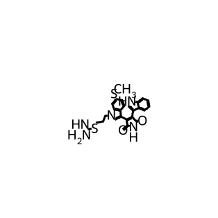 CSc1ccc2c(C3=C(c4c[nH]c5ccccc45)C(=O)NC3=O)cn(CCCSC(=N)N)c2c1